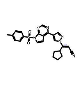 Cc1ccc(S(=O)(=O)n2ccc3c(-c4cnn(/C(=C/C#N)C5CCCC5)c4)ncnc32)cc1